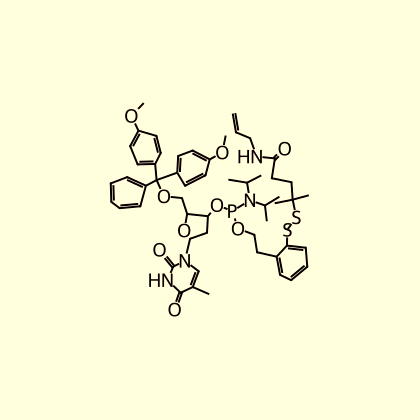 C=CCNC(=O)CCC(C)(C)SSc1ccccc1CCOP(OC1CC(n2cc(C)c(=O)[nH]c2=O)OC1COC(c1ccccc1)(c1ccc(OC)cc1)c1ccc(OC)cc1)N(C(C)C)C(C)C